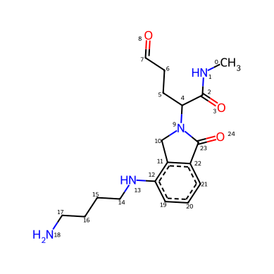 CNC(=O)C(CCC=O)N1Cc2c(NCCCCN)cccc2C1=O